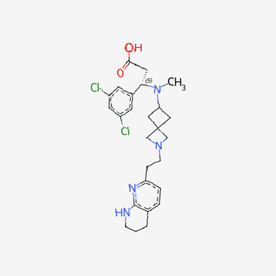 CN(C1CC2(C1)CN(CCc1ccc3c(n1)NCCC3)C2)[C@@H](CC(=O)O)c1cc(Cl)cc(Cl)c1